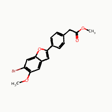 COC(=O)Cc1ccc(-c2cc3cc(OC)c(Br)cc3o2)cc1